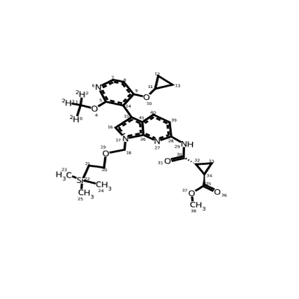 [2H]C([2H])([2H])Oc1nccc(OC2CC2)c1-c1cn(COCC[Si](C)(C)C)c2nc(NC(=O)[C@@H]3C[C@H]3C(=O)OC)ccc12